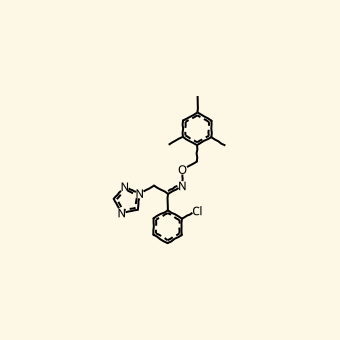 Cc1cc(C)c(CON=C(Cn2cncn2)c2ccccc2Cl)c(C)c1